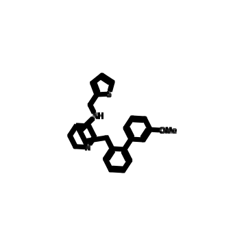 COc1cccc(-c2ccccc2CC2C(NCc3cccs3)C3CCN2CC3)c1